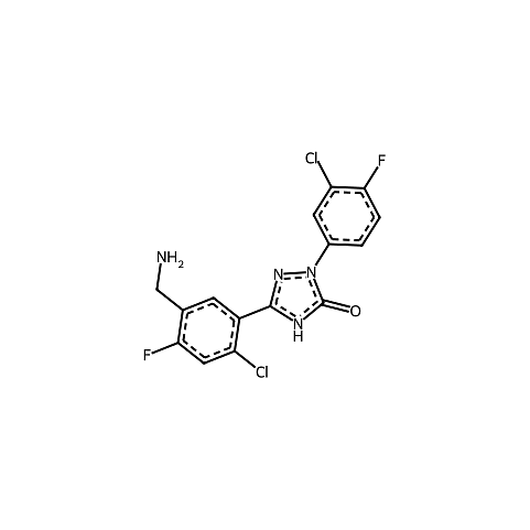 NCc1cc(-c2nn(-c3ccc(F)c(Cl)c3)c(=O)[nH]2)c(Cl)cc1F